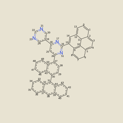 C1=CC2=CC=C3CC=CC4=C3C2C(=C1)C=C4c1nc(-c2cncnc2)cc(-c2ccc(-c3c4ccccc4cc4ccccc34)c3ccccc23)n1